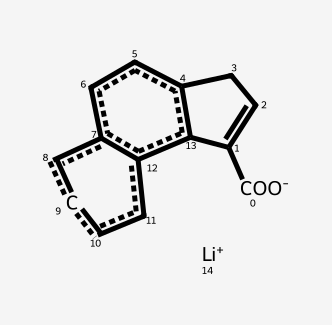 O=C([O-])C1=CCc2ccc3ccccc3c21.[Li+]